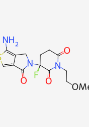 COCCN1C(=O)CC[C@@](F)(N2Cc3c(csc3N)C2=O)C1=O